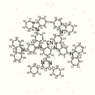 N#Cc1c(-n2c3ccc(-n4c5ccccc5c5ccccc54)cc3c3cc(-n4c5ccccc5c5ccccc54)ccc32)cc(-c2nc(-c3ccccc3)cc(-c3ccccc3)n2)cc1-n1c2ccc(-n3c4ccccc4c4ccccc43)cc2c2cc(-n3c4ccccc4c4ccccc43)ccc21